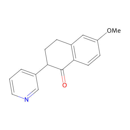 COc1ccc2c(c1)CCC(c1cccnc1)C2=O